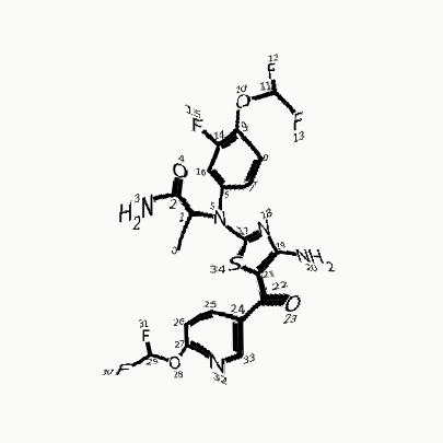 CC(C(N)=O)N(c1ccc(OC(F)F)c(F)c1)c1nc(N)c(C(=O)c2ccc(OC(F)F)nc2)s1